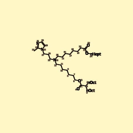 CCCCCCCCC(CCCCCCCC)C(=O)OCCCCCCCN(CCCCCCCC(=O)OCCCCCCC)CCCn1ccnc1C